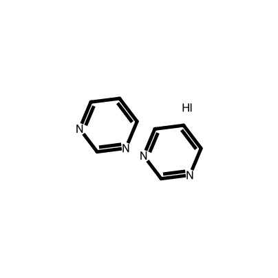 I.c1cncnc1.c1cncnc1